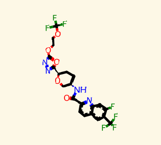 O=C(N[C@H]1CC[C@H](c2nnc(OCCOC(F)(F)F)o2)OC1)c1ccc2cc(C(F)(F)F)c(F)cc2n1